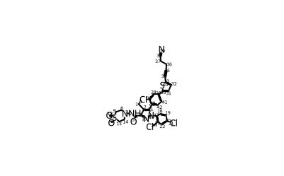 CCc1c(C(=O)NN2CCS(=O)(=O)CC2)nn(-c2ccc(Cl)cc2Cl)c1-c1ccc(-c2ccc(C#CCCC#N)s2)cc1